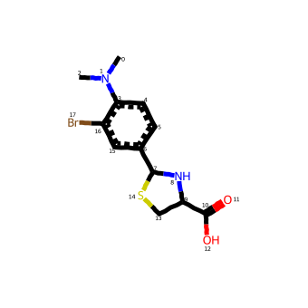 CN(C)c1ccc(C2NC(C(=O)O)CS2)cc1Br